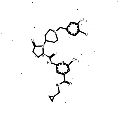 Cc1cc(C(=O)NCC2CC2)cc(NC(=O)[C@H]2CCC(=O)N2C2CCN(Cc3ccc(Cl)c(C)c3)CC2)n1